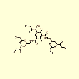 CN(C(=O)CCl)c1c(I)c(C(=O)NCC(COC(=O)CCl)OC(=O)CCl)c(I)c(C(=O)NCC(COC(=O)CCl)OC(=O)CCl)c1I